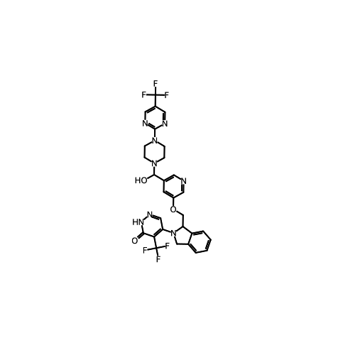 O=c1[nH]ncc(N2Cc3ccccc3C2COc2cncc(C(O)N3CCN(c4ncc(C(F)(F)F)cn4)CC3)c2)c1C(F)(F)F